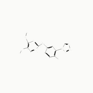 CNc1nc(Nc2ccc(C)c(-n3cnnn3)c2)ncc1OC